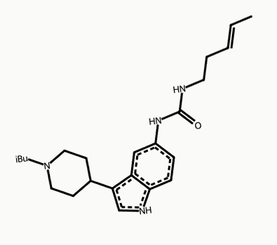 C/C=C/CCNC(=O)Nc1ccc2[nH]cc(C3CCN(C(C)CC)CC3)c2c1